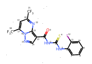 O=C(NC(=S)Nc1ccccc1I)c1cnn2c(C(F)(F)F)cc(C(F)(F)F)nc12